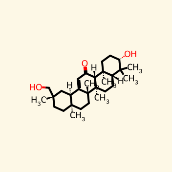 CC1(C)[C@@H](O)CC[C@]2(C)[C@H]3C(=O)C=C4[C@@H]5C[C@@](C)(CO)CC[C@]5(C)CC[C@@]4(C)[C@]3(C)CC[C@@H]12